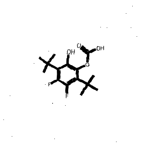 CC(C)(C)c1c(O)c(OC(=O)O)c(C(C)(C)C)c(F)c1F